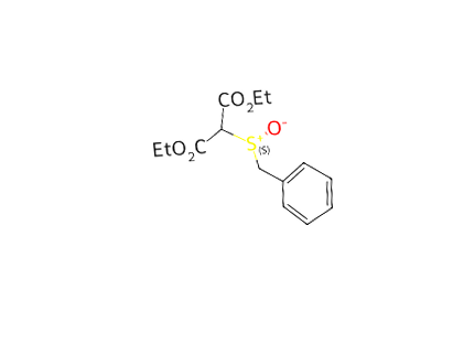 CCOC(=O)C(C(=O)OCC)[S@+]([O-])Cc1ccccc1